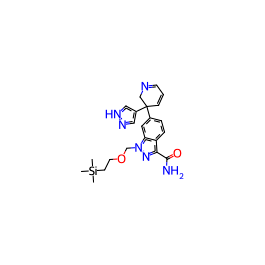 C[Si](C)(C)CCOCn1nc(C(N)=O)c2ccc(C3(c4cn[nH]c4)C=CC=NC3)cc21